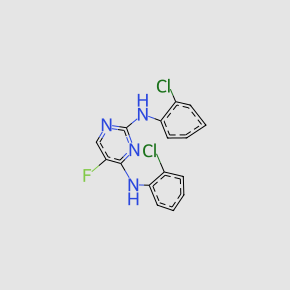 Fc1cnc(Nc2ccccc2Cl)nc1Nc1ccccc1Cl